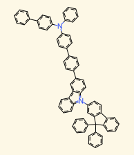 c1ccc(-c2ccc(N(c3ccccc3)c3ccc(-c4ccc(-c5ccc6c(c5)c5ccccc5n6-c5ccc6c(c5)C(c5ccccc5)(c5ccccc5)c5ccccc5-6)cc4)cc3)cc2)cc1